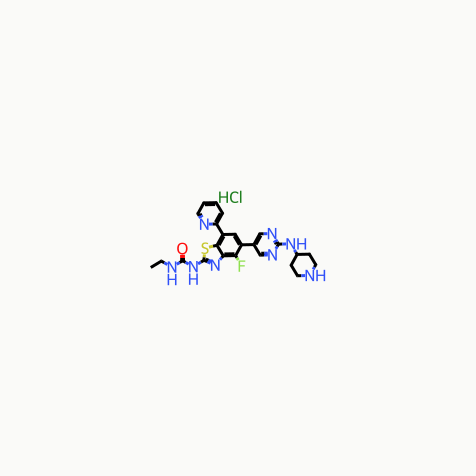 CCNC(=O)Nc1nc2c(F)c(-c3cnc(NC4CCNCC4)nc3)cc(-c3ccccn3)c2s1.Cl